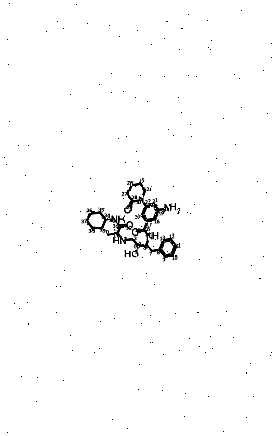 C[C@H](NC[C@@H](O)[C@H](Cc1ccccc1)NC(=O)c1cc(N)cc(N2CCCCC2=O)c1)C(=O)NC1CCCCC1